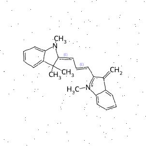 C=C1C(/C=C/C=C2/N(C)c3ccccc3C2(C)C)=[N+](C)c2ccccc21